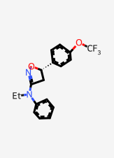 CCN(C1=NO[C@H](c2ccc(OC(F)(F)F)cc2)C1)c1ccccc1